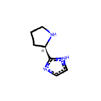 c1c[nH]c([C@H]2CCCN2)n1